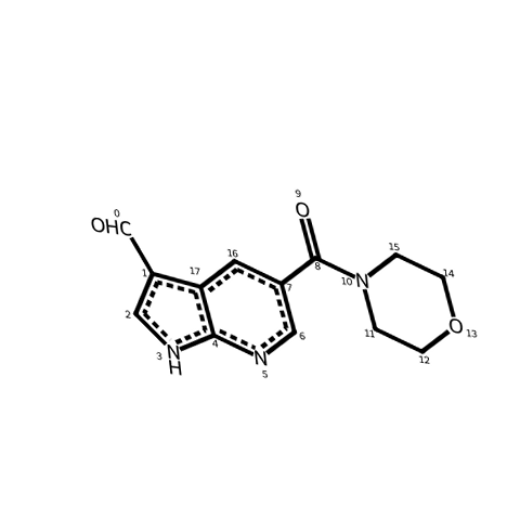 O=Cc1c[nH]c2ncc(C(=O)N3CCOCC3)cc12